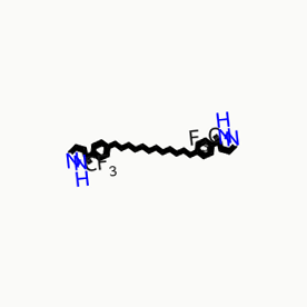 FC(F)(F)C1(c2ccc(CCCCCCCCCCCCc3ccc(C4(C(F)(F)F)C=CC=NN4)cc3)cc2)C=CC=NN1